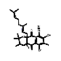 CC(C)=CCC/C(C)=C/CC12OC(C)(C)C(Cl)CC1(Cl)C(=O)c1c([O-])c(C)c(O)c([N+]#N)c1C2=O